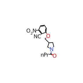 CCCC(=O)N1CCC(COc2cccc([N+](=O)[O-])c2C#N)C1